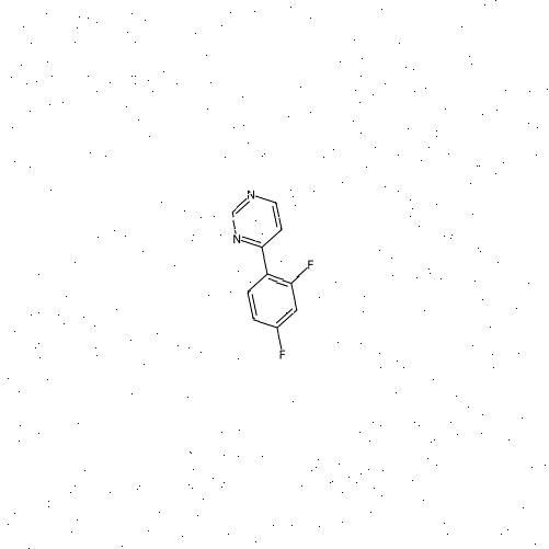 Fc1ccc(-c2ccncn2)c(F)c1